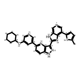 Cc1ccc(-c2cncc3[nH]c(-c4n[nH]c5ccc(-c6cncc(OC7CCCCC7)c6)nc45)nc23)s1